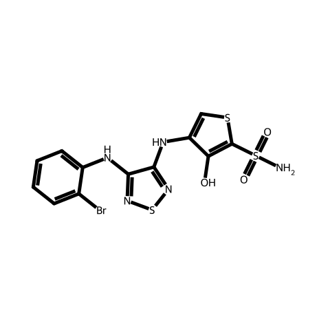 NS(=O)(=O)c1scc(Nc2nsnc2Nc2ccccc2Br)c1O